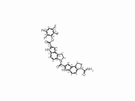 NC(=O)N1CCc2c1ccc1[nH]c(C(=O)N3CCc4c3ccc3[nH]c(C(=O)Oc5c(F)c(F)cc(F)c5F)cc43)cc21